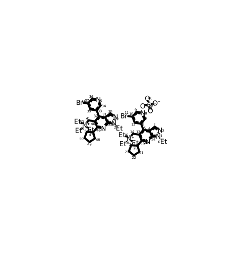 CCn1ncc2c(-c3cncc(Br)c3)c(C[N+](CC)(CC)CC)c(C3CCCC3)nc21.CCn1ncc2c(-c3cncc(Br)c3)c(C[N+](CC)(CC)CC)c(C3CCCC3)nc21.O=S(=O)([O-])[O-]